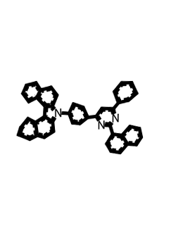 c1ccc(-c2cc(-c3ccc(-n4c5ccc6ccccc6c5c5c6ccccc6ccc54)cc3)nc(-c3cccc4ccccc34)n2)cc1